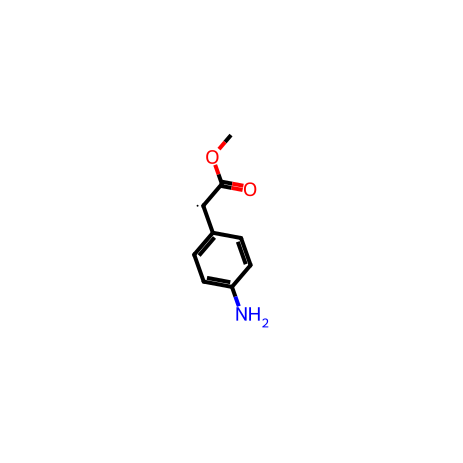 COC(=O)[CH]c1ccc(N)cc1